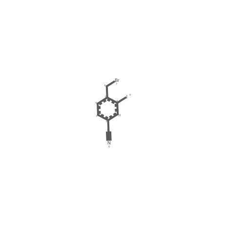 N#Cc1ccc(CBr)c(I)c1